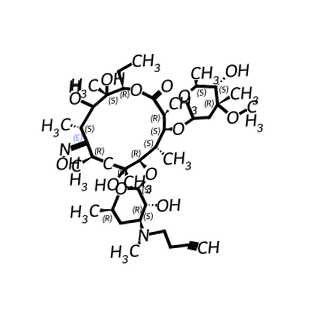 C#CCCN(C)[C@H]1C[C@@H](C)O[C@@H](O[C@@H]2[C@@H](C)[C@H](OC3C[C@@](C)(OC)[C@@H](O)[C@H](C)O3)[C@@H](C)C(=O)O[C@H](CC)[C@@](C)(O)C(O)[C@@H](C)/C(=N/O)[C@H](C)C[C@@]2(C)O)[C@@H]1O